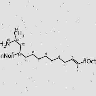 CCCCCCCCC=CCCCCCCCC(CCCCCCCCC)CC(C)N